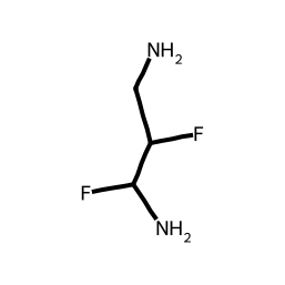 NCC(F)C(N)F